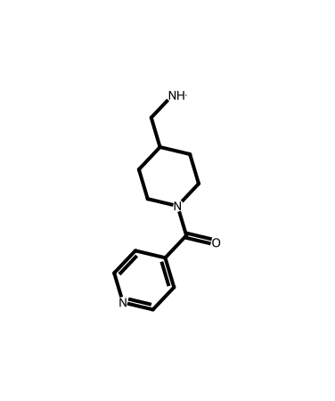 [NH]CC1CCN(C(=O)c2ccncc2)CC1